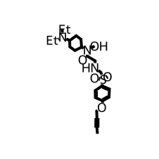 CC#CCOc1ccc(S(=O)(=O)CNCC(=O)N(O)C2CCC(N(CC)CC)CC2)cc1